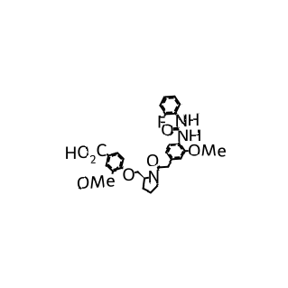 COc1cc(CC(=O)N2CCC[C@H]2COc2ccc(C(=O)O)cc2OC)ccc1NC(=O)Nc1ccccc1F